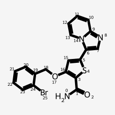 NC(=O)c1sc(-c2cnc3ccccn23)cc1OCc1ccccc1Br